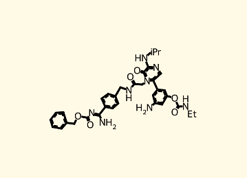 CCNC(=O)Oc1cc(N)cc(-c2cnc(NC(C)C)c(=O)n2CC(=O)NCc2ccc(/C(N)=N/C(=O)OCc3ccccc3)cc2)c1